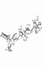 C=C1/C(=C\C=C2/CCC[C@]3(C)[C@@H]([C@H](C)/C=C/[C@@H](O)C4(C5=NCC(C)O5)CC4)CC[C@@H]23)C[C@@H](O[Si](C)(C)C(C)(C)C)C[C@@H]1O[Si](C)(C)C(C)(C)C